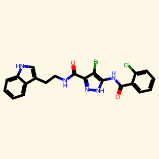 O=C(Nc1[nH]nc(C(=O)NCCc2c[nH]c3ccccc23)c1Br)c1ccccc1Cl